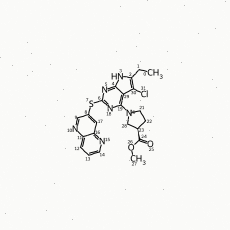 CCc1[nH]c2nc(Sc3cnc4cccnc4c3)nc(N3CC[C@@H](C(=O)OC)C3)c2c1Cl